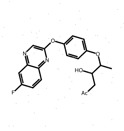 CC(=O)CC(O)C(C)Oc1ccc(Oc2cnc3cc(F)ccc3n2)cc1